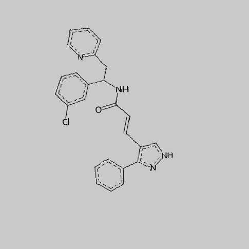 O=C(C=Cc1c[nH]nc1-c1ccccc1)NC(Cc1ccccn1)c1cccc(Cl)c1